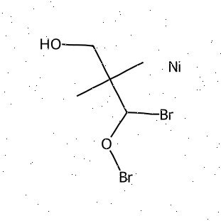 CC(C)(CO)C(Br)OBr.[Ni]